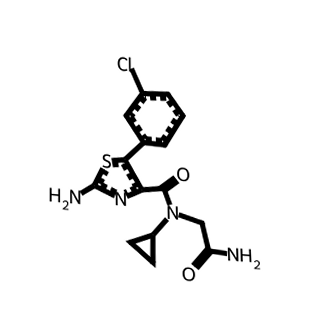 NC(=O)CN(C(=O)c1nc(N)sc1-c1cccc(Cl)c1)C1CC1